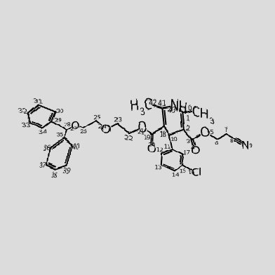 CC1=C(C(=O)OCCC#N)C(c2cccc(Cl)c2)C(C(=O)OCCOCCOC(c2ccccc2)c2ccccc2)=C(C)N1